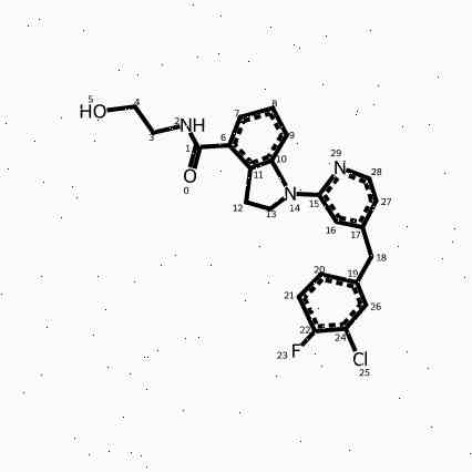 O=C(NCCO)c1cccc2c1CCN2c1cc(Cc2ccc(F)c(Cl)c2)ccn1